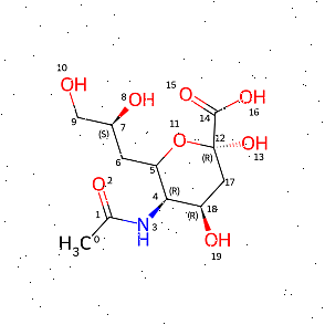 CC(=O)N[C@H]1C(C[C@H](O)CO)O[C@@](O)(C(=O)O)C[C@H]1O